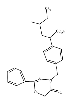 CC(CC(C(=O)O)c1ccc(CN2N=C(c3ccccc3)OCC2=O)cc1)CC(F)(F)F